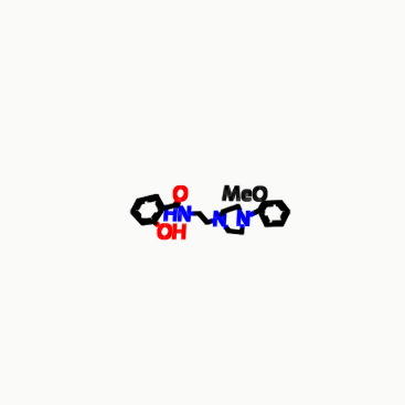 COc1ccccc1N1CCN(CCNC(=O)c2ccccc2O)CC1